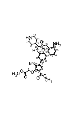 COC(=O)COc1c(C(=O)OC)sc(-c2cccc(NC(C3CCNCC3)S(=O)(=O)Cc3ccccc3N)c2)c1Br